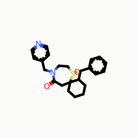 O=C1CC2(CCCCC2Cc2ccccc2)[S+]([O-])CCN1Cc1ccncc1